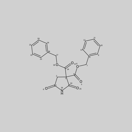 O=C1CC(C(=O)OCc2ccccc2)(C(=O)OCc2ccccc2)C(=O)N1